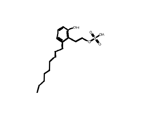 CCCCCCCCCc1cccc(O)c1CCOS(=O)(=O)O